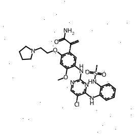 C=C(C(N)=O)c1cc(Nc2ncc(Cl)c(Nc3ccccc3NS(C)(=O)=O)n2)c(OC)cc1OCCN1CCCC1